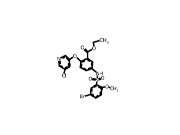 CCOC(=O)c1cc(NS(=O)(=O)c2cc(Br)ccc2OC)ccc1Oc1cncc(Cl)c1